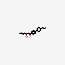 CCCCC(=O)CC(=O)c1ccc(C2CCC(CCC)CC2)cc1